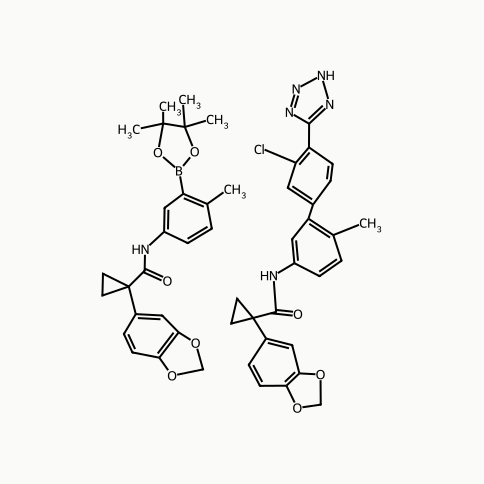 Cc1ccc(NC(=O)C2(c3ccc4c(c3)OCO4)CC2)cc1-c1ccc(-c2nn[nH]n2)c(Cl)c1.Cc1ccc(NC(=O)C2(c3ccc4c(c3)OCO4)CC2)cc1B1OC(C)(C)C(C)(C)O1